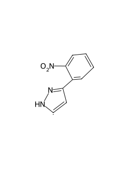 O=[N+]([O-])c1ccccc1-c1c[c][nH]n1